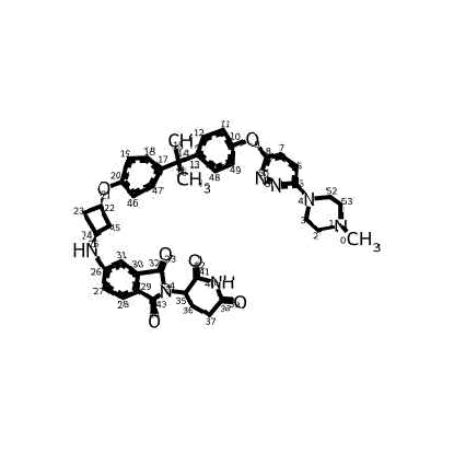 CN1CCN(c2ccc(Oc3ccc(C(C)(C)c4ccc(O[C@H]5C[C@H](Nc6ccc7c(c6)C(=O)N(C6CCC(=O)NC6=O)C7=O)C5)cc4)cc3)nn2)CC1